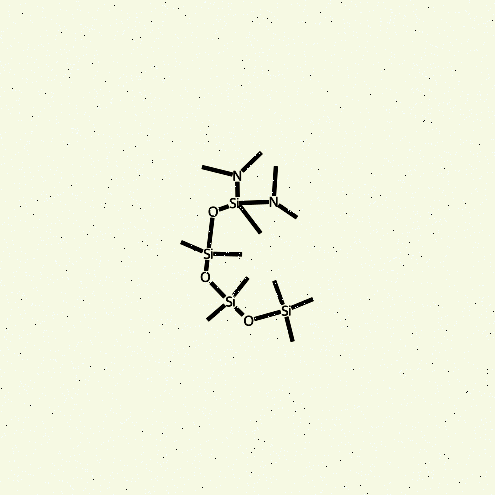 CN(C)[Si](C)(O[Si](C)(C)O[Si](C)(C)O[Si](C)(C)C)N(C)C